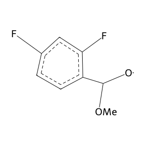 COC([O])c1ccc(F)cc1F